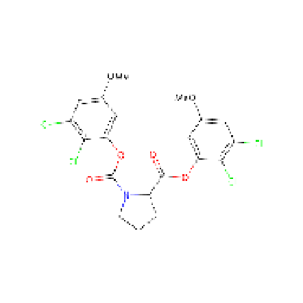 COc1cc(Cl)c(Cl)c(OC(=O)C2CCCN2C(=O)Oc2cc(OC)cc(Cl)c2Cl)c1